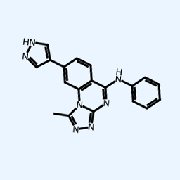 Cc1nnc2nc(Nc3ccccc3)c3ccc(-c4cn[nH]c4)cc3n12